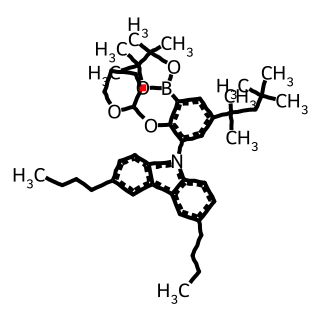 CCCCc1ccc2c(c1)c1cc(CCCC)ccc1n2-c1cc(C(C)(C)CC(C)(C)C)cc(B2OC(C)(C)C(C)(C)O2)c1OC1CCCCO1